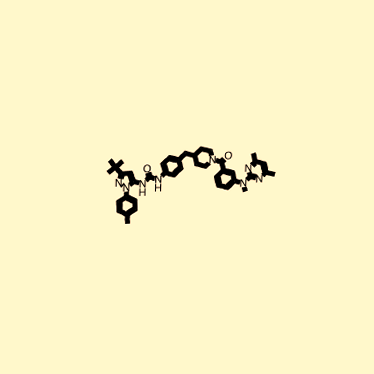 Cc1ccc(-n2nc(C(C)(C)C)cc2NC(=O)Nc2ccc(CC3CCN(C(=O)c4cccc(N(C)c5nc(C)cc(C)n5)c4)CC3)cc2)cc1